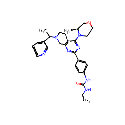 CCNC(=O)Nc1ccc(-c2nc3c(c(N4CCOC[C@@H]4C)n2)CCN(C(C)c2cccnc2)C3)cc1